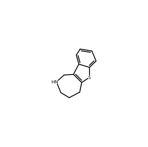 c1ccc2c3c(sc2c1)CCCNC3